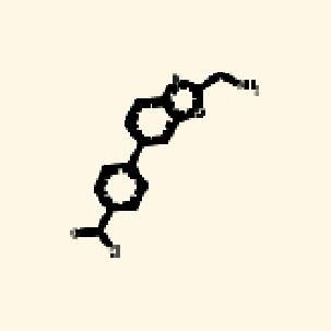 NCc1nc2ccc(-c3ccc(C(=O)Cl)cc3)cc2o1